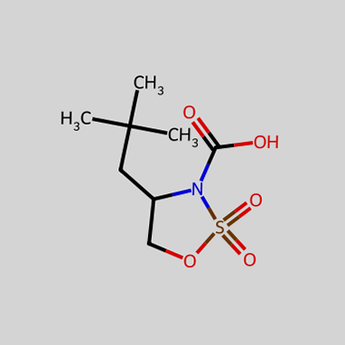 CC(C)(C)CC1COS(=O)(=O)N1C(=O)O